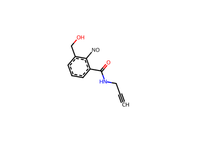 C#CCNC(=O)c1cccc(CO)c1N=O